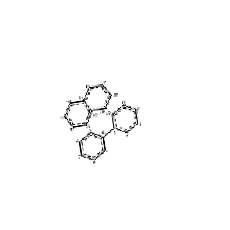 c1ccc(-c2ccccc2)cc1.c1ccc2ccccc2c1